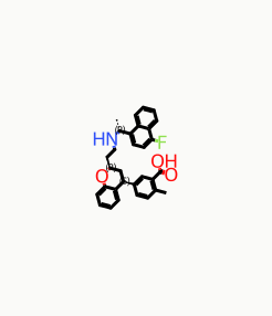 Cc1ccc([C@@H]2C[C@H](CCN[C@H](C)c3ccc(F)c4ccccc34)Oc3ccccc32)cc1C(=O)O